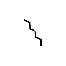 C[CH]C[N]C[CH]C